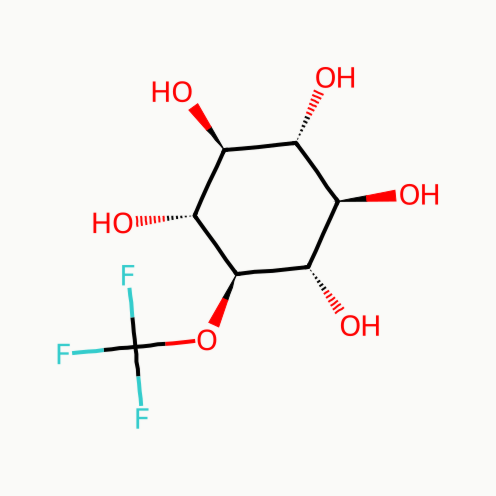 O[C@@H]1[C@@H](O)[C@H](O)[C@@H](OC(F)(F)F)[C@H](O)[C@H]1O